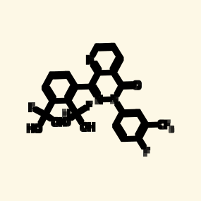 O=c1c2cccnc2c(-c2cccc(C(O)(O)F)c2C(O)(O)F)nn1-c1ccc(F)c(C(F)(F)F)c1